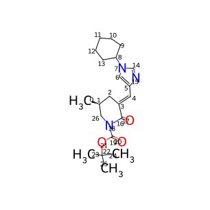 C[C@H]1C/C(=C\c2cn(C3CCCCC3)cn2)C(=O)N(C(=O)OC(C)(C)C)C1